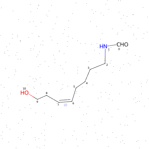 O=CNCCCC/C=C\CCO